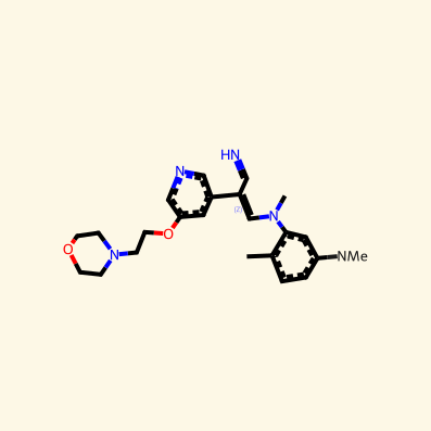 CNc1ccc(C)c(N(C)/C=C(\C=N)c2cncc(OCCN3CCOCC3)c2)c1